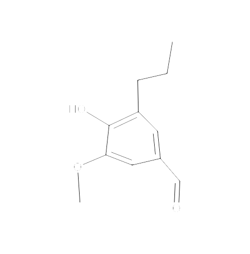 CCCc1cc(C=O)cc(OC)c1O